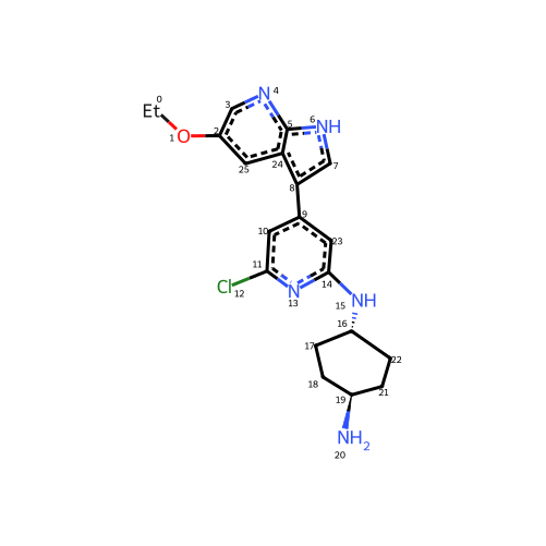 CCOc1cnc2[nH]cc(-c3cc(Cl)nc(N[C@H]4CC[C@H](N)CC4)c3)c2c1